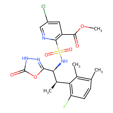 COC(=O)c1cc(Cl)cnc1S(=O)(=O)N[C@H](c1n[nH]c(=O)o1)[C@H](C)c1c(F)ccc(C)c1C